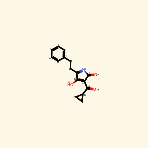 O=C1N=C(CCc2ccccc2)C(O)=C1C(=O)C1CC1